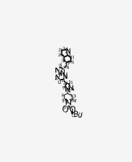 CC(C)(C)OC(=O)N1CCC(n2cc(-c3cnc4ncc(Cc5ccc6ncccc6c5)n4n3)cn2)CC1